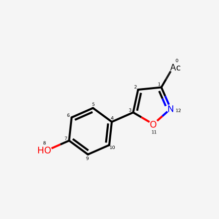 CC(=O)c1cc(-c2ccc(O)cc2)on1